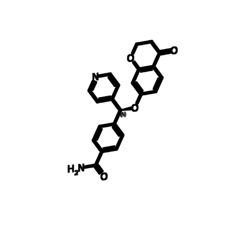 NC(=O)c1ccc([C@H](Oc2ccc3c(c2)OCCC3=O)c2ccncc2)cc1